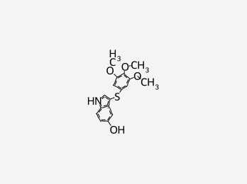 COc1cc(Sc2c[nH]c3ccc(O)cc23)cc(OC)c1OC